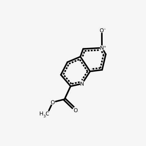 COC(=O)c1ccc2c[n+]([O-])ccc2n1